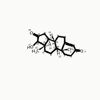 C[C@]12CCC(=O)C=C1CC[C@@H]1[C@H]2CC[C@]2(C)C(O)C(=O)C[C@@H]12